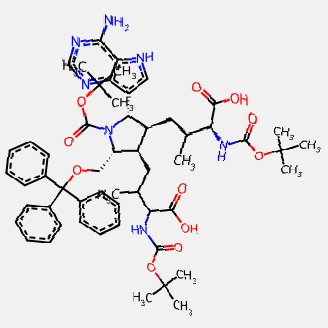 CC(C[C@@H]1[C@H](CC(C)[C@H](NC(=O)OC(C)(C)C)C(=O)O)[C@@H](c2c[nH]c3c(N)ncnc23)N(C(=O)OC(C)(C)C)[C@H]1COC(c1ccccc1)(c1ccccc1)c1ccccc1)C(NC(=O)OC(C)(C)C)C(=O)O